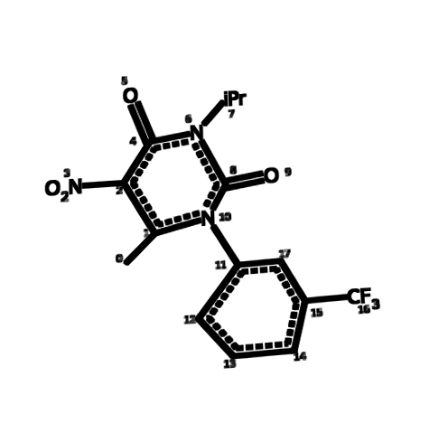 Cc1c([N+](=O)[O-])c(=O)n(C(C)C)c(=O)n1-c1cccc(C(F)(F)F)c1